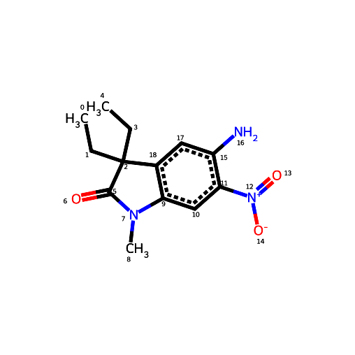 CCC1(CC)C(=O)N(C)c2cc([N+](=O)[O-])c(N)cc21